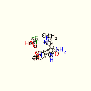 CCN(C)c1ccc(-c2cc(C(N)=O)c3[nH]cc(C4CCN(S(=O)(=O)CC)CC4)c3c2)cn1.O=C(O)C(F)(F)F